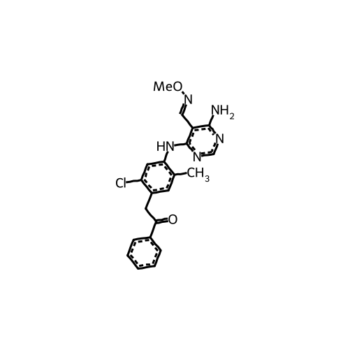 CON=Cc1c(N)ncnc1Nc1cc(Cl)c(CC(=O)c2ccccc2)cc1C